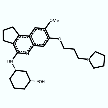 COc1cc2c3c(c(N[C@H]4CCC[C@@H](O)C4)nc2cc1OCCCN1CCCC1)CCC3